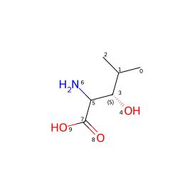 CC(C)[C@H](O)C(N)C(=O)O